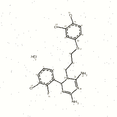 Cl.NC1=NC(c2cccc(Cl)c2F)N(CCCOc2ccc(Cl)c(Cl)c2)C(N)=N1